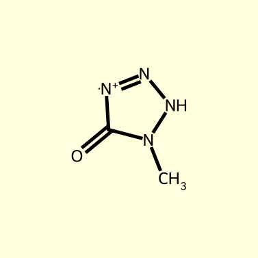 CN1NN=[N+]C1=O